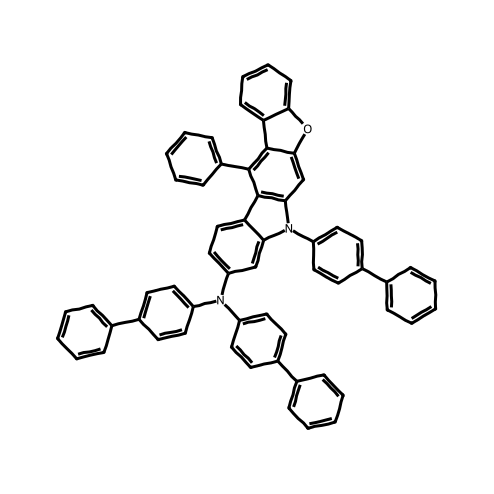 c1ccc(-c2ccc(N(c3ccc(-c4ccccc4)cc3)c3ccc4c5c(-c6ccccc6)c6c(cc5n(-c5ccc(-c7ccccc7)cc5)c4c3)oc3ccccc36)cc2)cc1